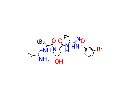 CCC(NC(=O)C1CC(O)CN1C(=O)C(NCC(N)C1CC1)C(C)(C)C)C1=NOC(c2cccc(Br)c2)N1